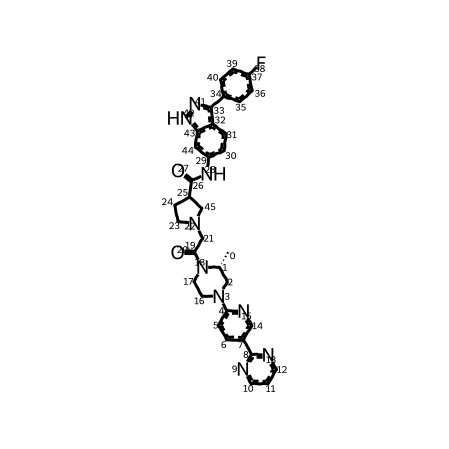 C[C@@H]1CN(c2ccc(-c3ncccn3)cn2)CCN1C(=O)CN1CCC(C(=O)Nc2ccc3c(-c4ccc(F)cc4)n[nH]c3c2)C1